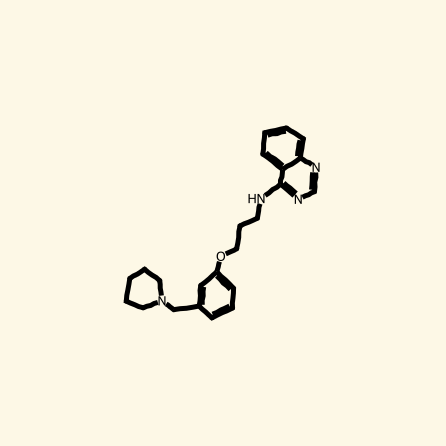 c1cc(CN2CCCCC2)cc(OCCCNc2ncnc3ccccc23)c1